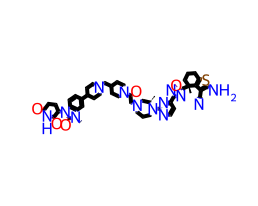 C[C@H]1CN(CC(=O)N2CCC(CN3CCC(c4ccc5c(c4)n(C)c(=O)n5C4CCC(=O)NC4=O)CC3)CC2)CCCN1c1nccc(-c2noc([C@]3(C)CCCc4sc(N)c(C#N)c43)n2)n1